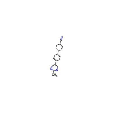 Cc1ncc(-c2ccc(-c3ccc(C#N)cc3)cc2)cn1